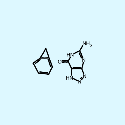 Nc1nc2nn[nH]c2c(=O)[nH]1.c1ccc2c(c1)C2